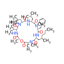 CCCC[C@@H](C)C[C@@H]1NC(=O)[C@H](Cc2ccccc2)N(C)C(=O)[C@H](CC(C)C)NC(=O)C(CC(C)C)N(C)C(=O)C(C(C)C)NC(=O)[C@@H](C)OC(=O)C(C)N(C)C1=O